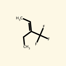 C/C=C(\CC)C(F)(F)F